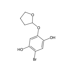 Oc1cc(OC2CCCO2)c(O)cc1Br